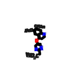 CCOC(=O)Cc1ncc(Oc2ccnc3cc(OC)c(OC)cc23)cn1